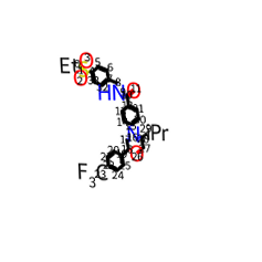 CCS(=O)(=O)c1ccc(CNC(=O)c2ccc(N3CC(c4ccc(C(F)(F)F)cc4)OCC3C(C)C)cc2)cc1